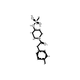 Cc1ccc(CC(=O)N2CCC(OS(C)(=O)=O)CC2)cc1